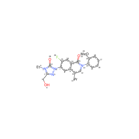 CCn1c(CO)nn(-c2cc3c(C(C)C)cn(-c4ccccc4OC)c(=O)c3cc2F)c1=O